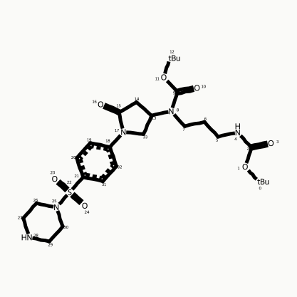 CC(C)(C)OC(=O)NCCCN(C(=O)OC(C)(C)C)C1CC(=O)N(c2ccc(S(=O)(=O)N3CCNCC3)cc2)C1